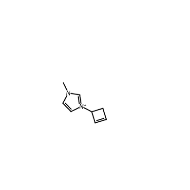 Cn1cc[n+](C2C=CC2)c1